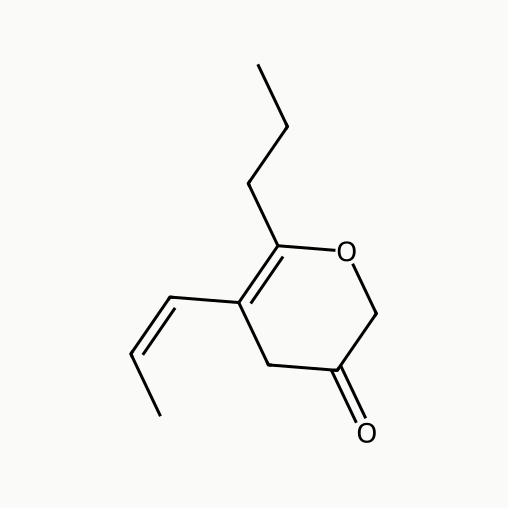 C/C=C\C1=C(CCC)OCC(=O)C1